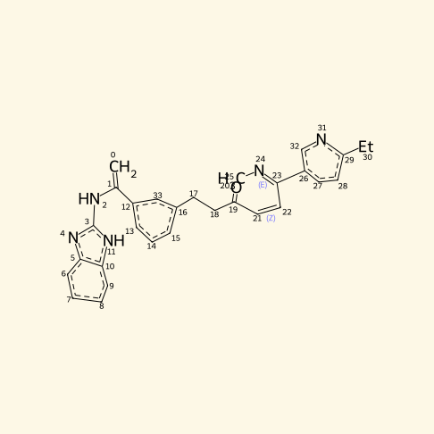 C=C(Nc1nc2ccccc2[nH]1)c1cccc(CCC(=O)/C=C\C(=N/C)c2ccc(CC)nc2)c1